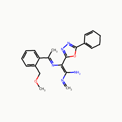 C=N/C(N)=C(\N=C(/C)c1ccccc1COC)c1nnc(C2=CCCC=C2)o1